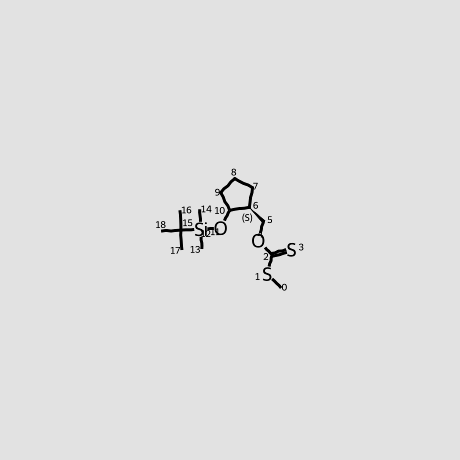 CSC(=S)OC[C@@H]1CCCC1O[Si](C)(C)C(C)(C)C